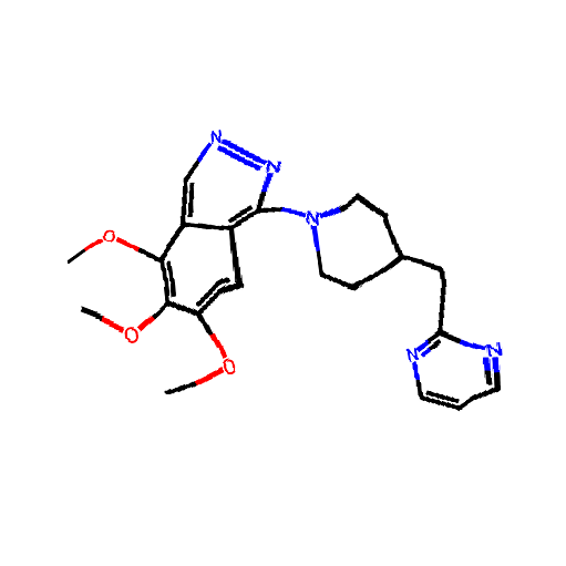 COc1cc2c(N3CCC(Cc4ncccn4)CC3)nncc2c(OC)c1OC